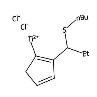 CCCCSC(CC)C1=[C]([Ti+2])CC=C1.[Cl-].[Cl-]